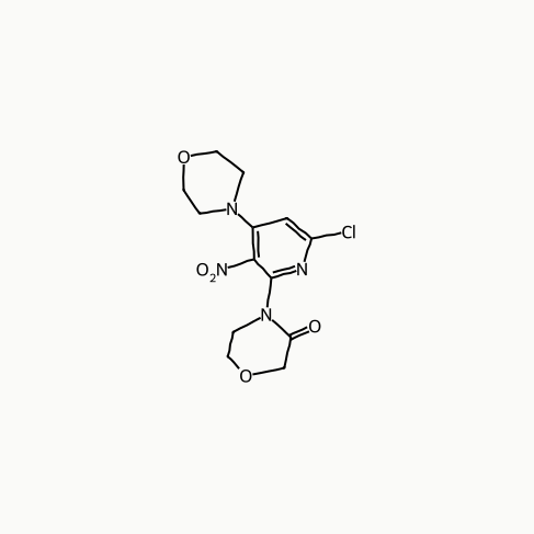 O=C1COCCN1c1nc(Cl)cc(N2CCOCC2)c1[N+](=O)[O-]